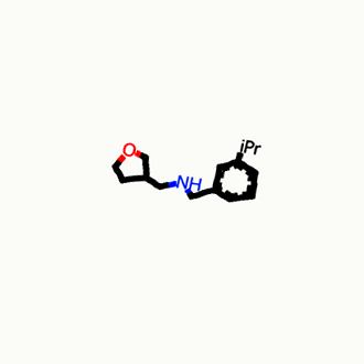 CC(C)c1cccc(CNCC2CCOC2)c1